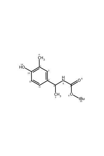 Cc1cc(C(C)NC(=O)OC(C)(C)C)ccc1O